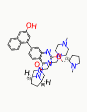 CN1CCN(CCCC(=O)N2[C@@H]3CC[C@H]2CN(c2nc(OC[C@@H]4CCCN4C)nc4cc(-c5cc(O)cc6ccccc56)ccc24)C3)CC1